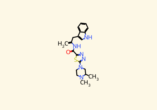 C=C(Cc1c[nH]c2ccccc12)NC(=O)c1nnc(N2CCN(C)C(C)C2)s1